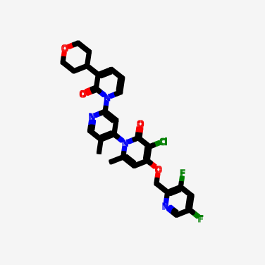 Cc1cnc(-n2cccc(C3CCOCC3)c2=O)cc1-n1c(C)cc(OCc2ncc(F)cc2F)c(Cl)c1=O